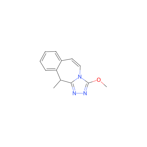 COc1nnc2n1C=Cc1ccccc1C2C